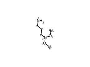 CCON(CCCN)OCC